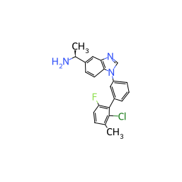 Cc1ccc(F)c(-c2cccc(-n3cnc4cc([C@H](C)N)ccc43)c2)c1Cl